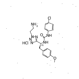 COc1ccc(C[C@H](NC(=O)Nc2ccc(Cl)cc2)c2nnn(CCN)n2)cc1.Cl